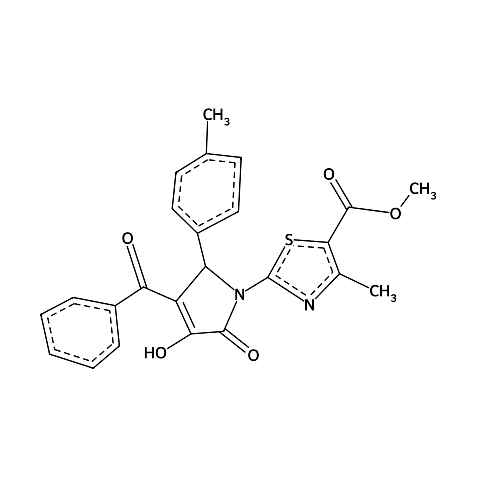 COC(=O)c1sc(N2C(=O)C(O)=C(C(=O)c3ccccc3)C2c2ccc(C)cc2)nc1C